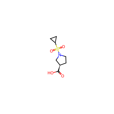 O=C(O)[C@@H]1CCN(S(=O)(=O)C2CC2)C1